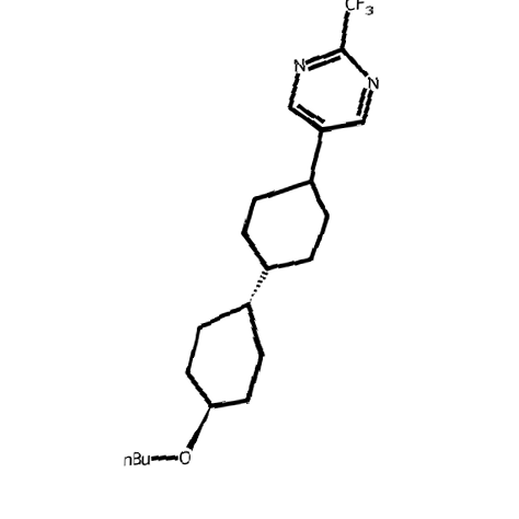 CCCCO[C@H]1CC[C@H](C2CCC(c3cnc(C(F)(F)F)nc3)CC2)CC1